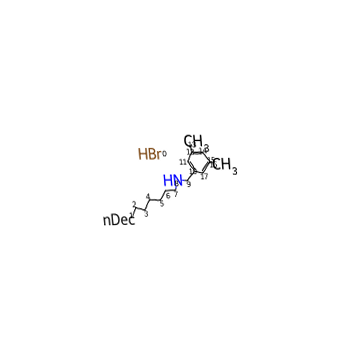 Br.CCCCCCCCCCCCCCCCNCc1cc(C)cc(C)c1